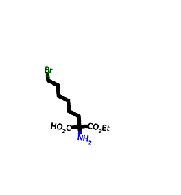 CCOC(=O)C(N)(CCCCCCBr)C(=O)O